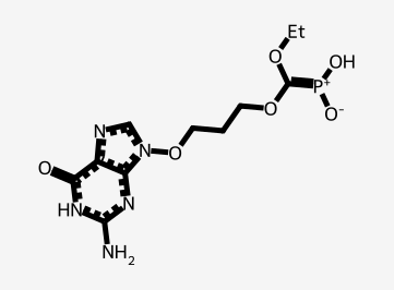 CCO/C(OCCCOn1cnc2c(=O)[nH]c(N)nc21)=[P+](/[O-])O